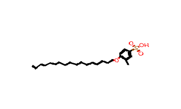 CCCCCCCCCCCCCCCCCOc1ccc(S(=O)(=O)O)cc1C